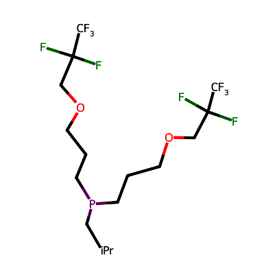 CC(C)CP(CCCOCC(F)(F)C(F)(F)F)CCCOCC(F)(F)C(F)(F)F